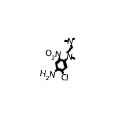 CN(C)CCN(C)c1cc(Cl)c(N)cc1[N+](=O)[O-]